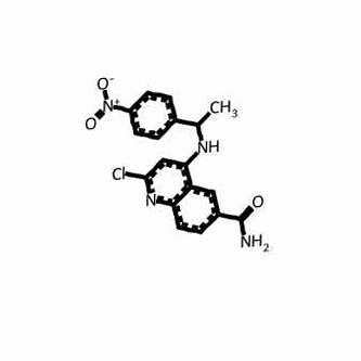 CC(Nc1cc(Cl)nc2ccc(C(N)=O)cc12)c1ccc([N+](=O)[O-])cc1